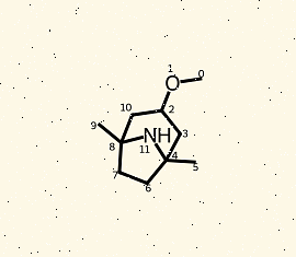 COC1CC2(C)CCC(C)(C1)N2